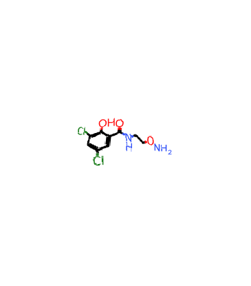 NOCCNC(=O)c1cc(Cl)cc(Cl)c1O